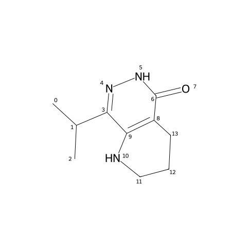 CC(C)c1n[nH]c(=O)c2c1NCCC2